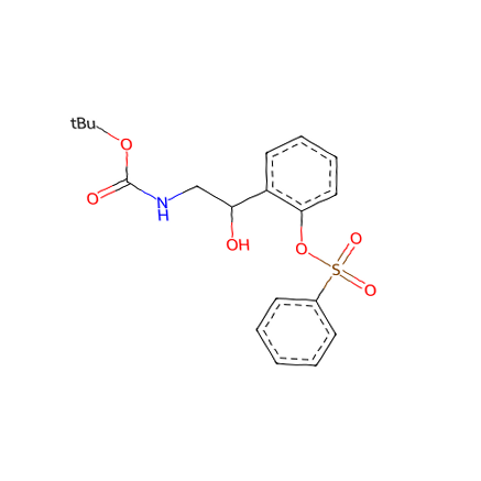 CC(C)(C)OC(=O)NCC(O)c1ccccc1OS(=O)(=O)c1ccccc1